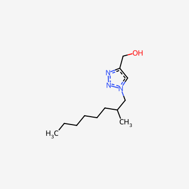 CCCCCCC(C)Cn1cc(CO)nn1